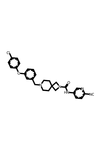 [C-]#[N+]c1ccc(NC(=O)N2CC3(CCN(Cc4cccc(Oc5ccc(Cl)cc5)c4)CC3)C2)cn1